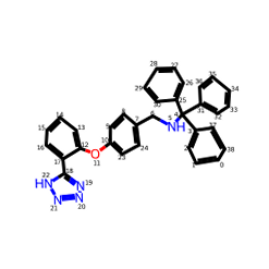 c1ccc(C(NCc2ccc(Oc3ccccc3-c3nnn[nH]3)cc2)(c2ccccc2)c2ccccc2)cc1